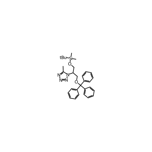 Cc1nnnn1C(COC(c1ccccc1)(c1ccccc1)c1ccccc1)CO[Si](C)(C)C(C)(C)C